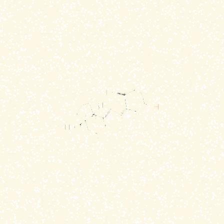 C=C1CC[C@@H](O)C/C1=C/C=C1\CCC[C@]2(C)CCC[C@@H]12